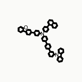 c1cc(-c2ccc(-c3ccc(N(c4ccc(-c5ccc6c(c5)oc5ccccc56)cc4)c4ccc(-c5cccc6ccccc56)cc4)cc3)cc2)cc(-n2c3ccccc3c3ccccc32)c1